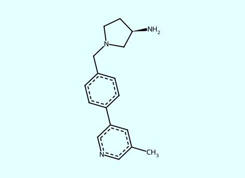 Cc1cncc(-c2ccc(CN3CC[C@@H](N)C3)cc2)c1